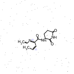 C=C/N=C(\C=C/C)C(=O)NC1CCC(=O)NC1=O